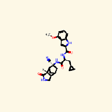 COc1cccc2[nH]c(C(=O)N[C@@H](CC3CC3)C(=O)N[C@@]3(C#N)CC4CC3[C@H]3C(=O)NCC43)cc12